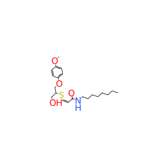 CCCCCCCCNC(=O)/C=C\SC(CO)COc1ccc(OC)cc1